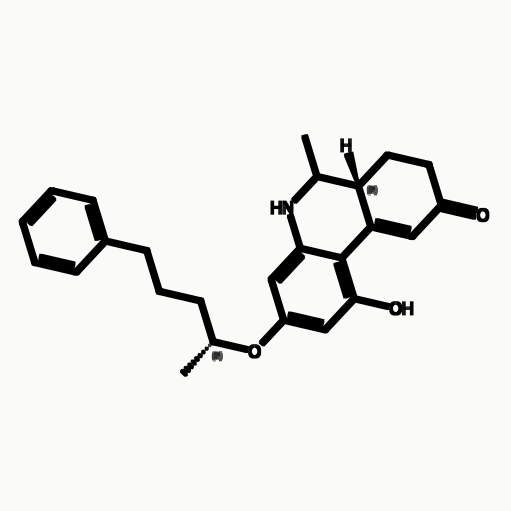 CC1Nc2cc(O[C@H](C)CCCc3ccccc3)cc(O)c2C2=CC(=O)CC[C@H]21